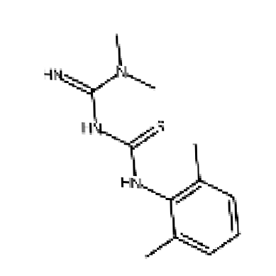 Cc1cccc(C)c1NC(=S)NC(=N)N(C)C